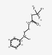 CN(CCOC(=O)CC(F)(F)F)c1ccccc1